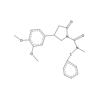 COc1ccc(C2CC(=O)N(C(=O)N(C)Cc3ccccc3)C2)cc1OC